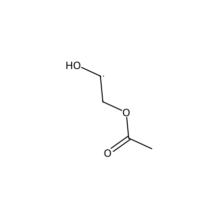 CC(=O)OC[CH]O